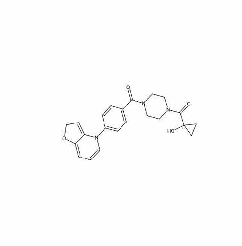 O=C(c1ccc(N2C=CC=C3OCC=C32)cc1)N1CCN(C(=O)C2(O)CC2)CC1